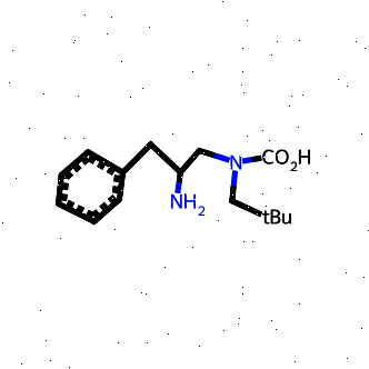 CC(C)(C)CN(CC(N)Cc1ccccc1)C(=O)O